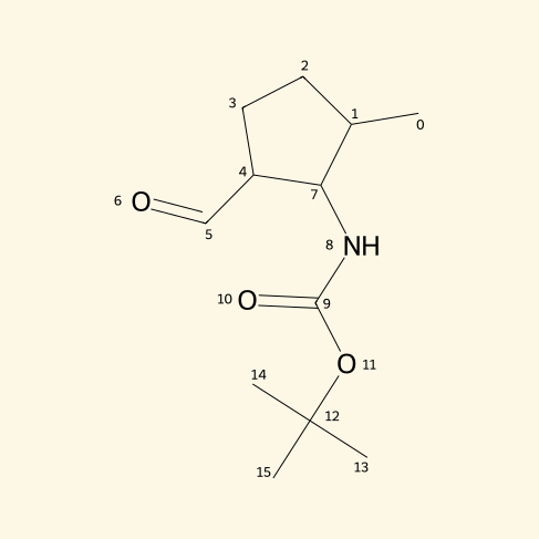 CC1CCC(C=O)C1NC(=O)OC(C)(C)C